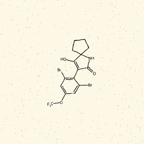 O=C1NC2(CCCC2)C(O)=C1c1c(Br)cc(OC(F)(F)F)cc1Br